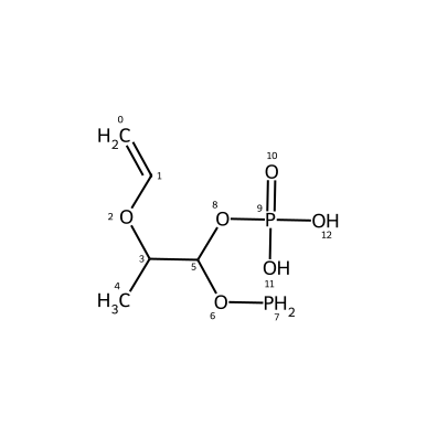 C=COC(C)C(OP)OP(=O)(O)O